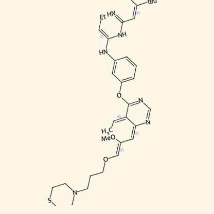 C/C=c1/c(Oc2cccc(N/C(=C/CC)NC(=N)/C=C(\O)C(C)(C)C)c2)ncn/c1=C/C(=C/OCCCN1CCSCC1)OC